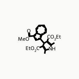 CCOC(=O)C1=C(C)NC(C)=C(C(=O)OCC)C1c1cc(C(=O)OC)c2cccccc1-2